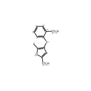 Cc1oc(C(=O)O)cc1Sc1ccccc1C(=O)O